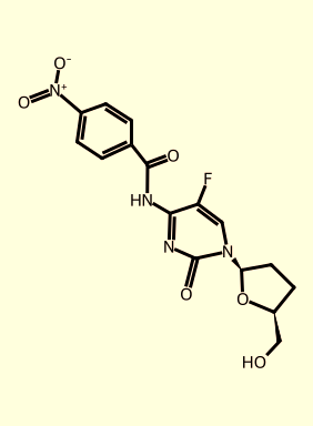 O=C(Nc1nc(=O)n([C@H]2CC[C@@H](CO)O2)cc1F)c1ccc([N+](=O)[O-])cc1